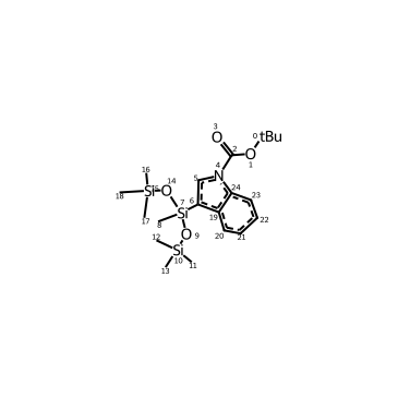 CC(C)(C)OC(=O)n1cc([Si](C)(O[Si](C)(C)C)O[Si](C)(C)C)c2ccccc21